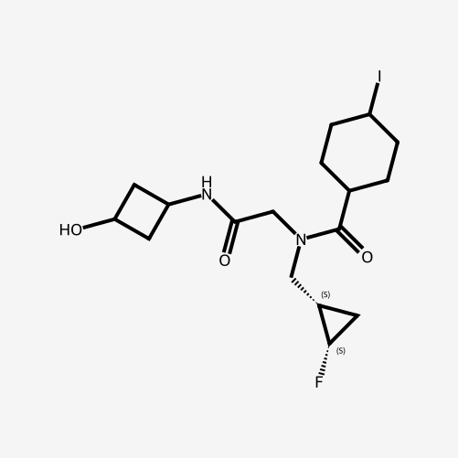 O=C(CN(C[C@@H]1C[C@@H]1F)C(=O)C1CCC(I)CC1)NC1CC(O)C1